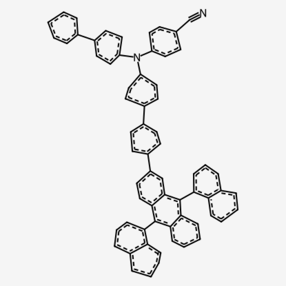 N#Cc1ccc(N(c2ccc(-c3ccccc3)cc2)c2ccc(-c3ccc(-c4ccc5c(-c6cccc7ccccc67)c6ccccc6c(-c6cccc7ccccc67)c5c4)cc3)cc2)cc1